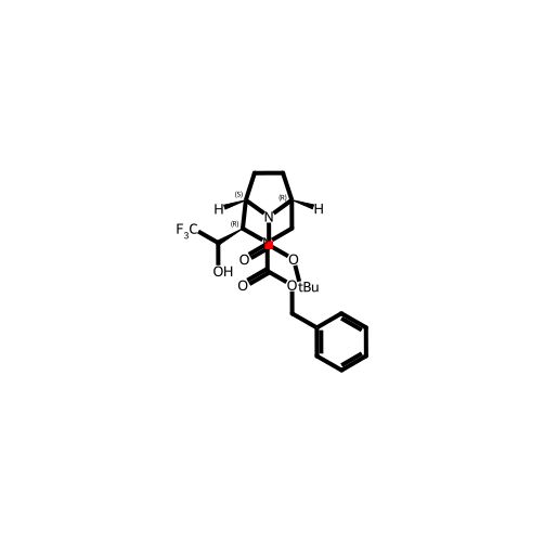 CC(C)(C)OC(=O)N1[C@@H]2CC[C@H]1[C@H](C(O)C(F)(F)F)N(C(=O)OCc1ccccc1)C2